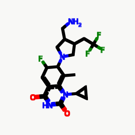 CC1=c2c(c(=O)[nH]c(=O)n2C2CC2)=CC(F)C1N1CC(CN)C(CC(F)(F)F)C1